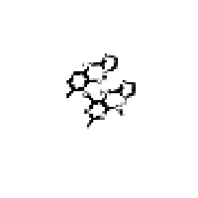 COc1nc(C)nc(Cl)c1NC1=NCCN1.Cc1ccc(NC2=NCCN2)c(Cl)c1